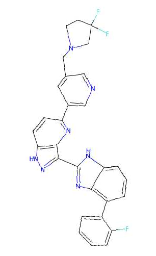 Fc1ccccc1-c1cccc2[nH]c(-c3n[nH]c4ccc(-c5cncc(CN6CCC(F)(F)C6)c5)nc34)nc12